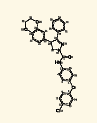 O=C(Nc1ccc(Oc2ccc(Cl)cc2)cc1)N1CC(c2ccc3c(c2)OCCO3)C(c2ccccc2)=N1